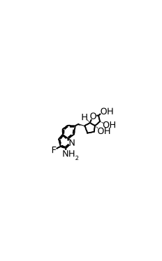 Nc1nc2cc(C[C@@H]3CC[C@@]4(O)[C@@H]3OC(O)[C@@H]4O)ccc2cc1F